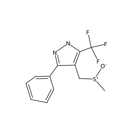 C[S+]([O-])CC1=C(C(F)(F)F)[N]N=C1c1ccccc1